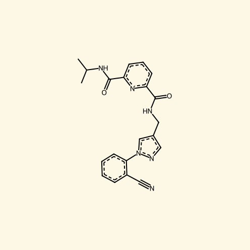 CC(C)NC(=O)c1cccc(C(=O)NCc2cnn(-c3ccccc3C#N)c2)n1